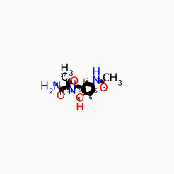 CC(=O)Nc1ccc(O)c(-c2nc(C(N)=O)c(C)o2)c1